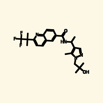 Cc1c(C(C)NC(=O)c2ccc3nc(C(C)(C)C(F)(F)F)ccc3c2)cnn1CC(C)(C)O